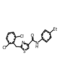 CCc1ccc(NC(=O)c2csc(Cc3c(Cl)cccc3Cl)n2)cc1